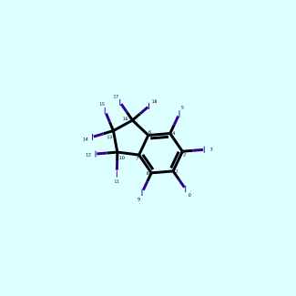 Ic1c(I)c(I)c2c(c1I)C(I)(I)C(I)(I)C2(I)I